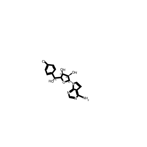 Nc1ncnc2c1ccn2[C@@H]1OC([C@H](O)c2ccc(Cl)cc2)[C@@H](O)[C@H]1O